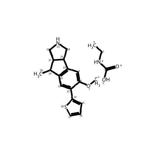 CCNC(=O)O.COc1cc2c(cc1-c1cccs1)C(C)C1CNCC21